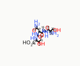 CC(O)[C@H](NC(=O)N[C@@H](CC(N)=O)C(=O)N(C)NC(=O)[C@@H](N)CO)C(=O)O